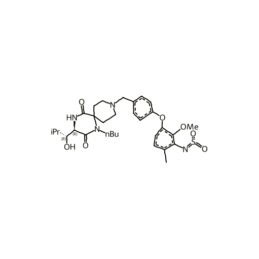 CCCCN1C(=O)[C@@H]([C@H](O)C(C)C)NC(=O)C12CCN(Cc1ccc(Oc3ccc(C)c(N=S(=O)=O)c3OC)cc1)CC2